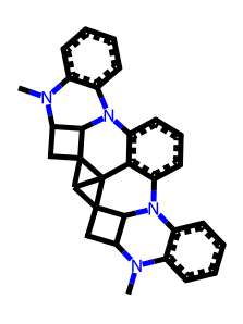 CN1c2ccccc2N2c3cccc4c3C35C(C36CC1C26)C51CC2C1N4c1ccccc1N2C